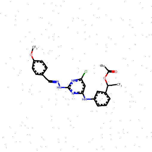 CC(C)(C)C(=O)OC(c1cccc(Nc2cc(Cl)nc(N/N=C/c3ccc(OC(F)(F)F)cc3)n2)c1)C(F)(F)F